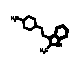 Cc1[nH]c2ccccc2c1CCN1CCN(N)CC1